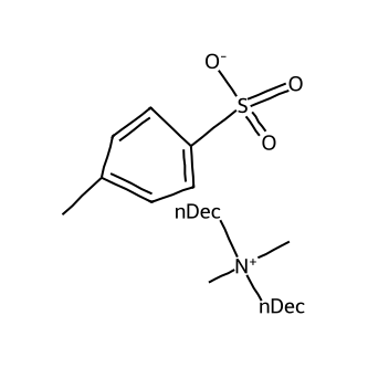 CCCCCCCCCC[N+](C)(C)CCCCCCCCCC.Cc1ccc(S(=O)(=O)[O-])cc1